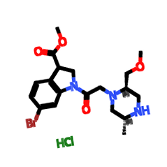 COC[C@H]1CN[C@H](C)CN1CC(=O)N1CC(C(=O)OC)c2ccc(Br)cc21.Cl